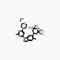 BC1(B)CC(c2cc3c(cnn3-c3cc(N4CCO[C@@H](CO)C4)nc(C)n3)cc2C)CC(B)(B)N1